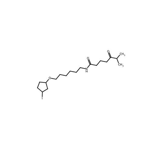 CC(C)C(=O)CCCC(=O)NCCCCCCOC1CCC(I)C1